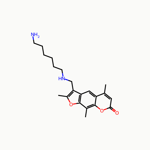 Cc1oc2c(C)c3oc(=O)cc(C)c3cc2c1CNCCCCCCN